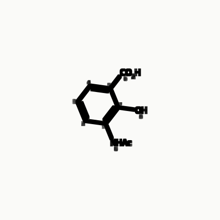 CC(=O)Nc1c[c]cc(C(=O)O)c1O